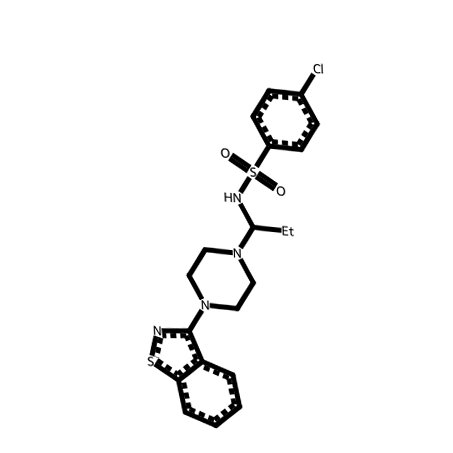 CCC(NS(=O)(=O)c1ccc(Cl)cc1)N1CCN(c2nsc3ccccc23)CC1